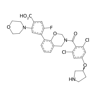 O=C(O)c1cc(F)c(-c2cccc3c2OCN(C(=O)c2c(Cl)cc(O[C@H]4CCNC4)cc2Cl)C3)cc1N1CCOCC1